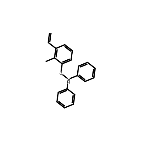 C=Cc1cccc(O[SiH](c2ccccc2)c2ccccc2)c1C